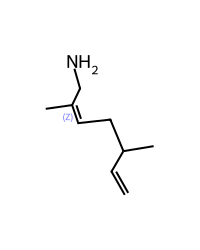 C=CC(C)C/C=C(/C)CN